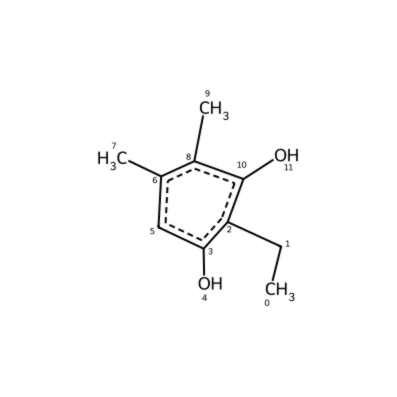 CCc1c(O)cc(C)c(C)c1O